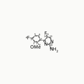 COc1cc(F)ccc1-c1nc(N)ncc1F